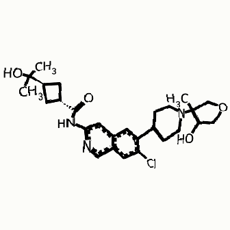 CC1(N2CCC(c3cc4cc(NC(=O)[C@H]5C[C@H](C(C)(C)O)C5)ncc4cc3Cl)CC2)COCC1O